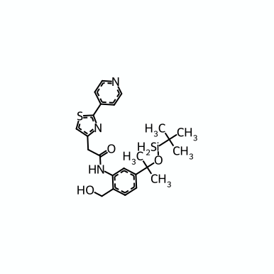 CC(C)(C)[SiH2]OC(C)(C)c1ccc(CO)c(NC(=O)Cc2csc(-c3ccncc3)n2)c1